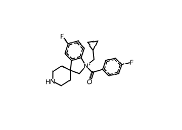 O=C(c1ccc(F)cc1)[N+]1(CC2CC2)CC2(CCNCC2)c2cc(F)ccc21